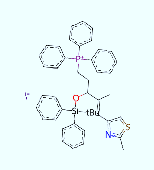 C/C(=C\c1csc(C)n1)C(CC[P+](c1ccccc1)(c1ccccc1)c1ccccc1)O[Si](c1ccccc1)(c1ccccc1)C(C)(C)C.[I-]